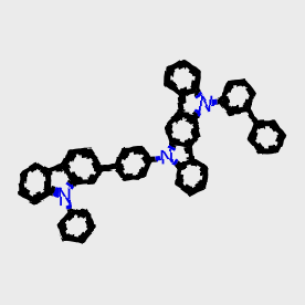 c1ccc(-c2cccc(-n3c4ccccc4c4cc5c(cc43)c3ccccc3n5-c3ccc(-c4ccc5c6ccccc6n(-c6ccccc6)c5c4)cc3)c2)cc1